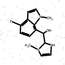 CN1C=CNC1C(O)c1ccc(F)c2ccn(C)c12